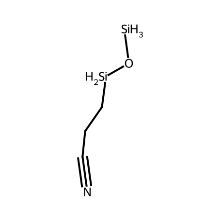 N#CCC[SiH2]O[SiH3]